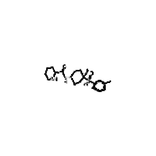 Cc1cccc(S(=O)(=O)[C@]2(F)CC[C@H](NC(=O)C3CCCCN3)CC2)c1